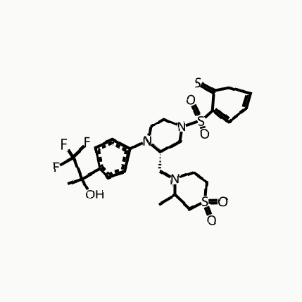 CC1CS(=O)(=O)CCN1C[C@H]1CN(S(=O)(=O)C2=CC=CCC2=S)CCN1c1ccc(C(C)(O)C(F)(F)F)cc1